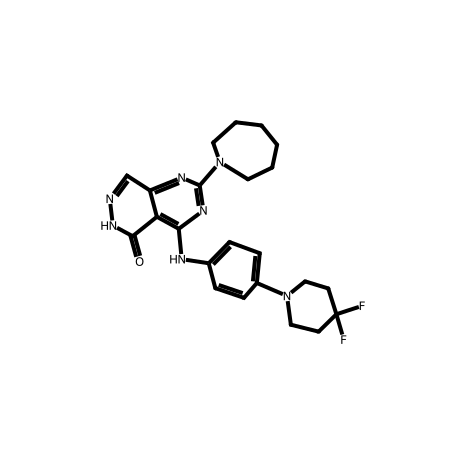 O=c1[nH]ncc2nc(N3CCCCCC3)nc(Nc3ccc(N4CCC(F)(F)CC4)cc3)c12